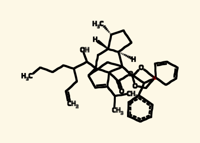 C=CCC(CCCC)C(O)C12C[C@@H]3[C@H](C)CC[C@H]3C3(C4OCCO4)CC1C=C(C(C)C)C23C(=O)OC(c1ccccc1)C1C=CC=CC1